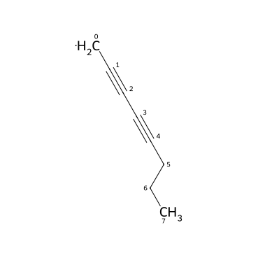 [CH2]C#CC#CCCC